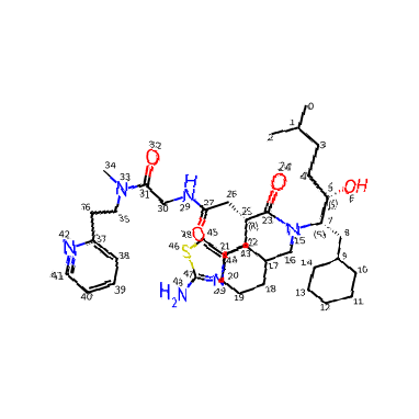 CC(C)CC[C@H](O)[C@H](CC1CCCCC1)N(CC1CCCCC1)C(=O)[C@@H](CC(=O)NCC(=O)N(C)CCc1ccccn1)Cc1csc(N)n1